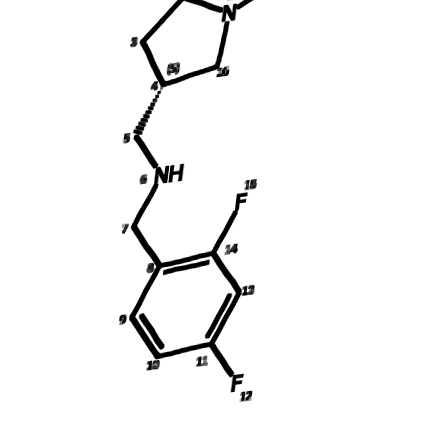 CN1CC[C@@H](CNCc2ccc(F)cc2F)C1